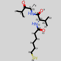 CC(C)C(=O)[C@H](C)NC(=O)[C@@H](NC(=O)CCCCCS)C(C)C